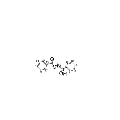 O=C(O[N][C](O)c1ccccc1)c1ccccc1